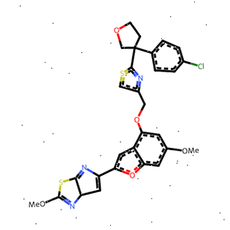 COC1=NC2C=C(c3cc4c(OCc5csc(C6(c7ccc(Cl)cc7)CCOC6)n5)cc(OC)cc4o3)N=C2S1